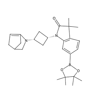 CC1(C)C(=O)N([C@H]2C[C@@H](N3CC4CC=C3C4)C2)c2cc(B3OC(C)(C)C(C)(C)O3)ccc21